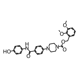 COc1cccc(COC(=O)N2CCN(c3ccc(C(=O)Nc4ccc(O)cc4)cc3)CC2)c1OC